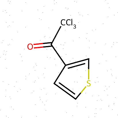 O=C(c1ccsc1)C(Cl)(Cl)Cl